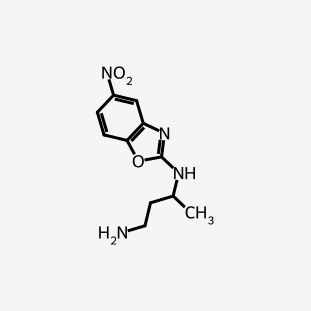 CC(CCN)Nc1nc2cc([N+](=O)[O-])ccc2o1